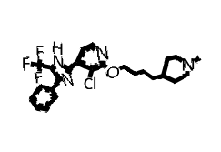 CN1CCC(CCCCOc2nccc(-c3nc(-c4ccccc4)c(C(F)(F)F)[nH]3)c2Cl)CC1